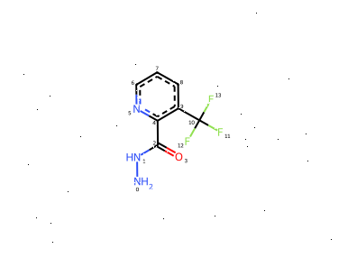 NNC(=O)c1ncccc1C(F)(F)F